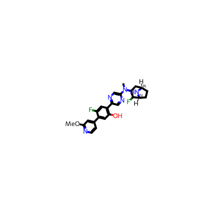 COc1cc(-c2cc(O)c(-c3cnc(N(C)C4C[C@H]5CC[C@H](N5)C4F)cn3)cc2F)ccn1